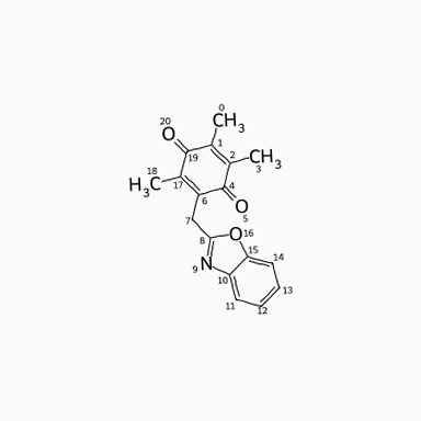 CC1=C(C)C(=O)C(Cc2nc3ccccc3o2)=C(C)C1=O